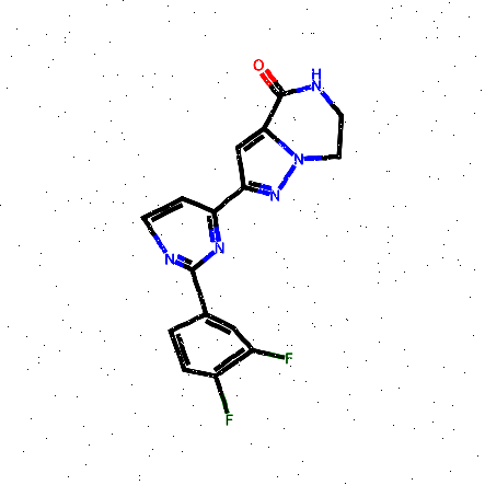 O=C1NCCn2nc(-c3ccnc(-c4ccc(F)c(F)c4)n3)cc21